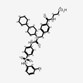 CCc1cccc(NS(=O)(=O)c2ccc(NC(=O)N(Cc3ccc(C(=O)NCCC(=O)O)cc3)C3CCC(C4CCCCC4)CC3)cc2)c1